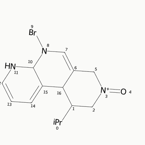 CC(C)C1C[N+](=O)CC2=CN(Br)C3NC=CC=C3C21